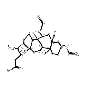 CC(CCC(=O)O)[C@H]1CCC2[C@H]3C(CC[C@@]21C)[C@@]1(C)CCC(OC=O)C[C@H]1C[C@@H]3OC=O